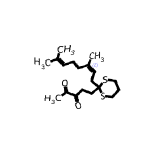 CC(=O)C(=O)CCC1(C/C=C(/C)CCC=C(C)C)SCCCS1